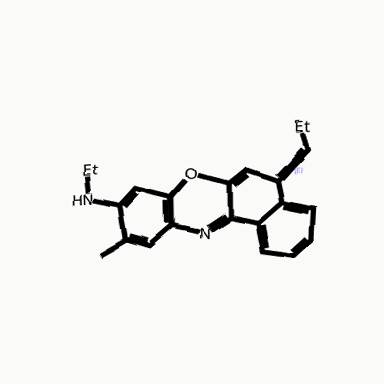 CC/C=c1\cc2c(c3ccccc13)=Nc1cc(C)c(NCC)cc1O2